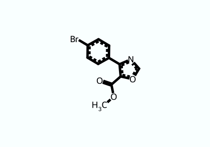 COC(=O)c1ocnc1-c1ccc(Br)cc1